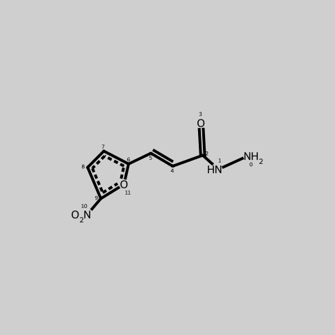 NNC(=O)C=Cc1ccc([N+](=O)[O-])o1